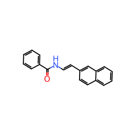 O=C(N/C=C/c1ccc2ccccc2c1)c1ccccc1